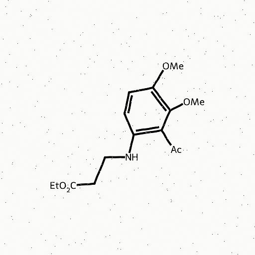 CCOC(=O)CCNc1ccc(OC)c(OC)c1C(C)=O